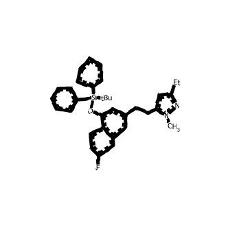 CCc1cc(CCc2cc(O[Si](c3ccccc3)(c3ccccc3)C(C)(C)C)c3ccc(F)cc3c2)n(C)n1